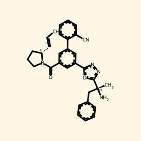 C/C=C/[C@H]1CCCN1C(=O)c1cc(-c2nnc([C@](C)(N)Cc3ccccc3)o2)cc(-c2ccccc2C#N)c1